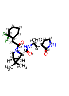 CC1(C)[C@@H]2[C@@H](C(=O)N[C@H](C=O)C[C@@H]3CCNC3=O)N(C(=O)CC3CCCCC3(F)F)C[C@@H]21